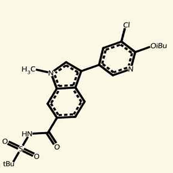 CC(C)COc1ncc(-c2cn(C)c3cc(C(=O)NS(=O)(=O)C(C)(C)C)ccc23)cc1Cl